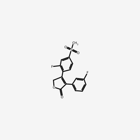 CS(=O)(=O)c1ccc(C2=C(c3cccc(F)c3)C(=O)OC2)c(F)c1